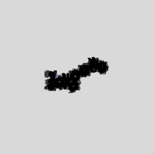 C/C=C(\C)c1cc2nc(-c3ccc(-c4ccc(-c5nnc(-c6ccccc6)o5)cc4)cc3)c(-c3ccccc3)nc2cc1C(C)(C)C